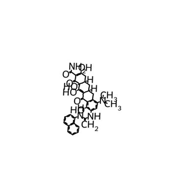 C=C(Nc1cc(N(C)C)c2c(c1O)C(=O)C1=C(O)[C@]3(O)C(=O)C(C(N)=O)=C(O)C[C@@H]3C[C@@H]1C2)Nc1cccc2ccccc12